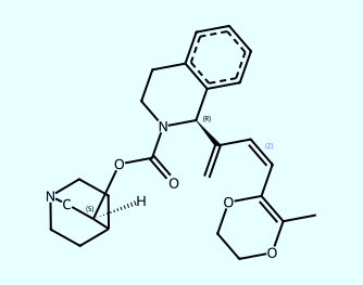 C=C(/C=C\C1=C(C)OCCO1)[C@@H]1c2ccccc2CCN1C(=O)O[C@@H]1CN2CCC1CC2